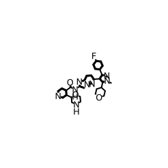 Cn1nc(-c2ccc(F)cc2)c(-c2ccc3nc(NC(=O)c4ccncc4C4CNCCO4)cn3n2)c1C1CCOCC1